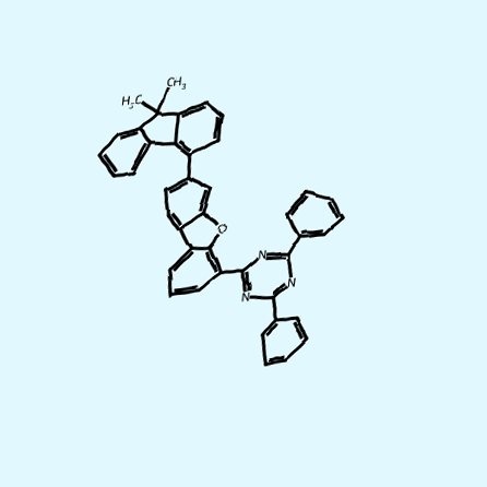 CC1(C)c2ccccc2-c2c(-c3ccc4c(c3)oc3c(-c5nc(-c6ccccc6)nc(-c6ccccc6)n5)cccc34)cccc21